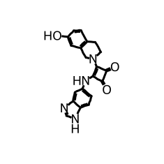 O=c1c(Nc2ccc3[nH]cnc3c2)c(N2CCc3ccc(O)cc3C2)c1=O